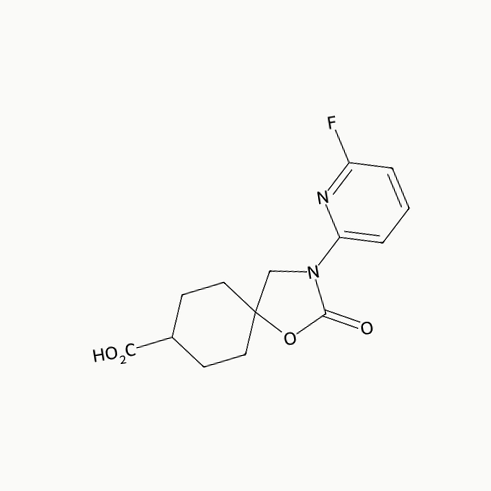 O=C(O)C1CCC2(CC1)CN(c1cccc(F)n1)C(=O)O2